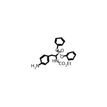 CCOC(=O)NC(Cc1ccc(N)cc1)P(=O)(Oc1ccccc1)Oc1ccccc1